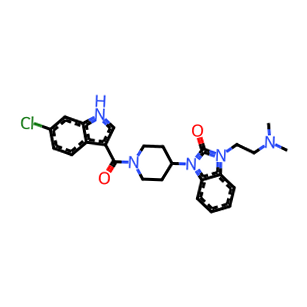 CN(C)CCn1c(=O)n(C2CCN(C(=O)c3c[nH]c4cc(Cl)ccc34)CC2)c2ccccc21